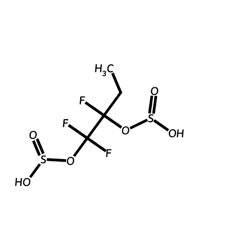 CCC(F)(OS(=O)O)C(F)(F)OS(=O)O